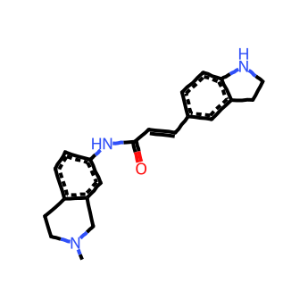 CN1CCc2ccc(NC(=O)C=Cc3ccc4c(c3)CCN4)cc2C1